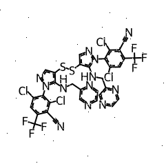 N#Cc1c(C(F)(F)F)cc(Cl)c(-n2ncc(SSc3cnn(-c4c(Cl)cc(C(F)(F)F)c(C#N)c4Cl)c3NCc3cnccn3)c2NCc2cnccn2)c1Cl